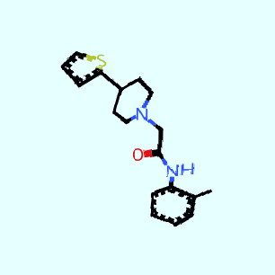 Cc1ccccc1NC(=O)CN1CCC(c2cccs2)CC1